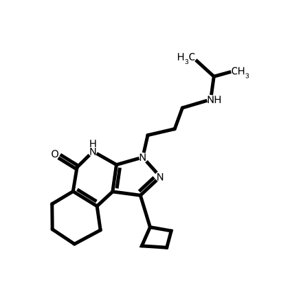 CC(C)NCCCn1nc(C2CCC2)c2c3c(c(=O)[nH]c21)CCCC3